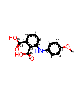 COc1ccc(Nc2cccc(C(=O)O)c2C(=O)O)cc1